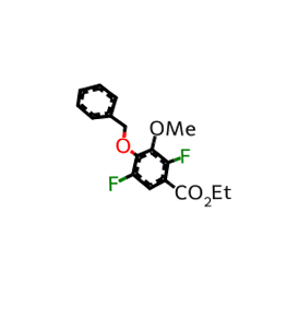 CCOC(=O)c1cc(F)c(OCc2ccccc2)c(OC)c1F